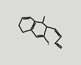 C=C/C=C\C1C(I)=CC2=C(C=CCC2)C1C